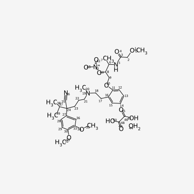 COCC(=O)NC(C)C(COc1ccccc1CCN(C)CCCC(C#N)(c1ccc(OC)c(OC)c1)C(C)C)O[N+](=O)[O-].O.O=C(O)C(=O)O